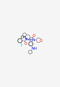 Cc1cccc(F)c1C(=O)N1C2CCCC2CC(C(=O)NC2CCOCC2)[C@@H]1c1ccc(NC2CCCC2)cc1